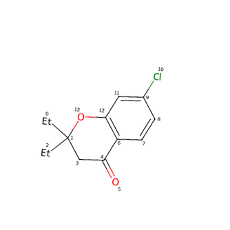 CCC1(CC)CC(=O)c2ccc(Cl)cc2O1